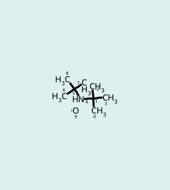 CC(C)(C)NC(C)(C)C.[O]